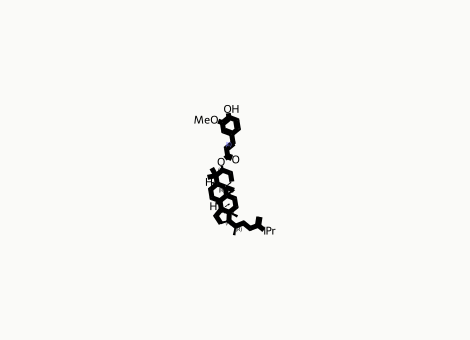 C=C(CC[C@@H](C)[C@H]1CC[C@@]2(C)[C@@H]3CC[C@H]4C(C)(C)[C@@H](OC(=O)/C=C/c5ccc(O)c(OC)c5)CC[C@@]45C[C@@]35CC[C@]12C)C(C)C